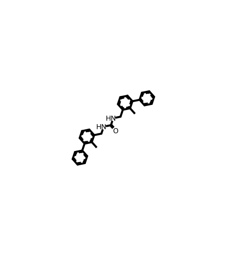 Cc1c(CNC(=O)NCc2cccc(-c3ccccc3)c2C)cccc1-c1ccccc1